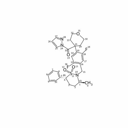 C[C@H]1CC[C@H](c2ccccc2)S(=O)(=O)N1Cc1cc(F)c(C2(C(=O)n3cccn3)CCOCC2)cc1F